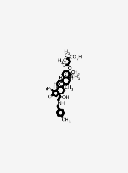 Cc1ccc(CNC[C@H](O)[C@@]23CC[C@]4(C)[C@H](CC[C@@H]5[C@@]6(C)CC[C@H](OC(=O)CC(C)(C)C(=O)O)C(C)(C)[C@@H]6CC[C@]54C)C2=C(C(C)C)C(=O)C3)cc1